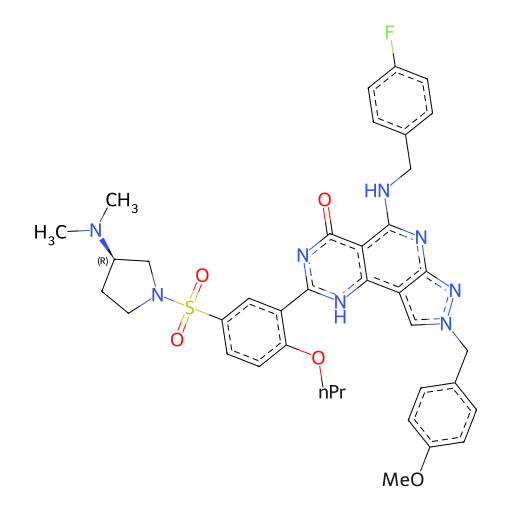 CCCOc1ccc(S(=O)(=O)N2CC[C@@H](N(C)C)C2)cc1-c1nc(=O)c2c(NCc3ccc(F)cc3)nc3nn(Cc4ccc(OC)cc4)cc3c2[nH]1